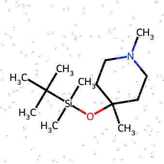 CN1CCC(C)(O[Si](C)(C)C(C)(C)C)CC1